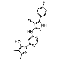 CCc1c(Nc2cc(-n3nc(C)c(C)c3O)ncn2)n[nH]c1-c1ccc(F)cc1